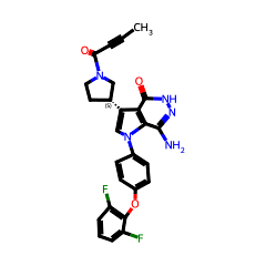 CC#CC(=O)N1CC[C@@H](c2cn(-c3ccc(Oc4c(F)cccc4F)cc3)c3c(N)n[nH]c(=O)c23)C1